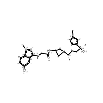 C[C@@H](CC[C@](C)(O)c1cnn(C)c1)N1CC(NC(=O)CNc2nn(C)c3ccc(C(F)(F)F)cc23)C1